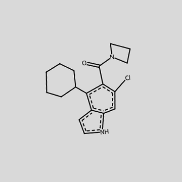 O=C(c1c(Cl)cc2[nH]ccc2c1C1CCCCC1)N1CCC1